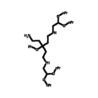 CCCOC(CPCCC(CCN)(CCPCC(OCCC)OCCC)OC(C)C)OCCC